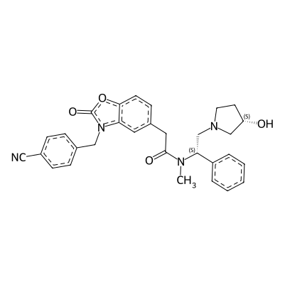 CN(C(=O)Cc1ccc2oc(=O)n(Cc3ccc(C#N)cc3)c2c1)[C@H](CN1CC[C@H](O)C1)c1ccccc1